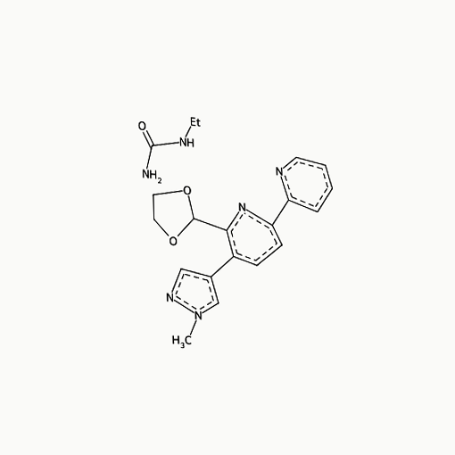 CCNC(N)=O.Cn1cc(-c2ccc(-c3ccccn3)nc2C2OCCO2)cn1